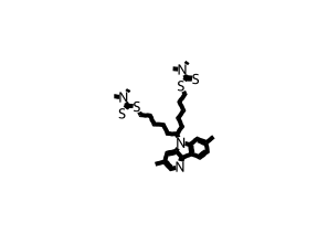 Cc1ccc2c3ncc(C)cc3n(C(CCCCCSC(=S)N(C)C)CCCCCSC(=S)N(C)C)c2c1